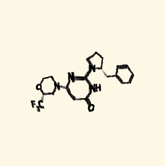 O=c1cc(N2CCO[C@@H](C(F)(F)F)C2)nc(N2CCC[C@@H]2Cc2ccccc2)[nH]1